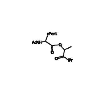 CCCCCC(NC(C)=O)C(=O)OC(C)C(=O)C(C)C